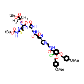 COc1ccc(COc2ccc(C(=O)NCCN3CC[C@@H](c4cc(C(=O)NC[C@H]5NC(=O)[C@H]5NC(=O)/C(=N\OC(C)(C)C(=O)OC(C)(C)C)c5csc(NC(=O)OC(C)(C)C)n5)on4)C3)c(Cl)c2OCc2ccc(OC)cc2)cc1